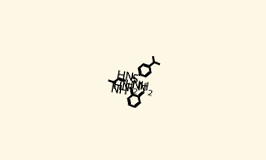 CC(=N)/C=C(/NSc1ccc(C(C)C)cc1)N/C(N)=c1\cccc\c1=C\N